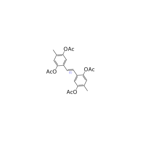 CC(=O)Oc1cc(/C=C/c2cc(OC(C)=O)c(C)cc2OC(C)=O)c(OC(C)=O)cc1C